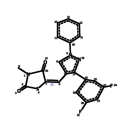 CN1C(=O)S/C(=C/c2cn(-c3ccccc3)nc2-c2cc(F)cc(F)c2)C1=O